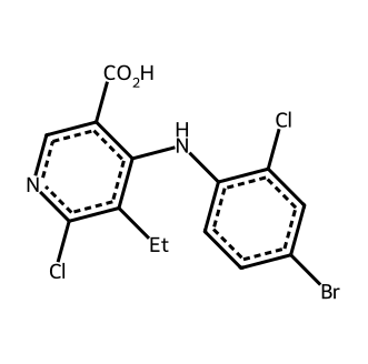 CCc1c(Cl)ncc(C(=O)O)c1Nc1ccc(Br)cc1Cl